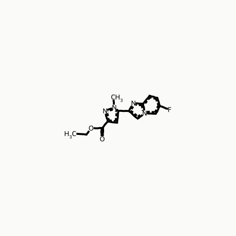 CCOC(=O)c1cc(-c2cn3cc(F)ccc3n2)n(C)n1